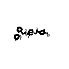 CCOc1ccc(C(=O)C[N+]23CCC(CC2)[C@@H](OC(=O)[C@H](Nc2ccccc2)c2ccccc2)C3)cc1